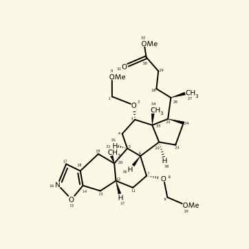 COCO[C@H]1C[C@H]2[C@@H]([C@H](OCOC)C[C@@H]3Cc4oncc4C[C@@]32C)[C@@H]2CC[C@H]([C@H](C)CCC(=O)OC)[C@@]12C